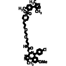 COc1ccc2c(c1)C(c1ccc(Cl)cc1)=N[C@@H](CC(=O)NCCCOCCOCCCN1CCN(S(=O)(=O)c3cc(-c4c(C)noc4C)ccc3C)CC1)c1nnc(C)n1-2